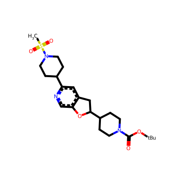 CC(C)(C)OC(=O)N1CCC(C2Cc3cc(C4CCN(S(C)(=O)=O)CC4)ncc3O2)CC1